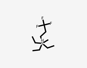 CC[SH](C)(CC)(CC)CCC(F)(F)F